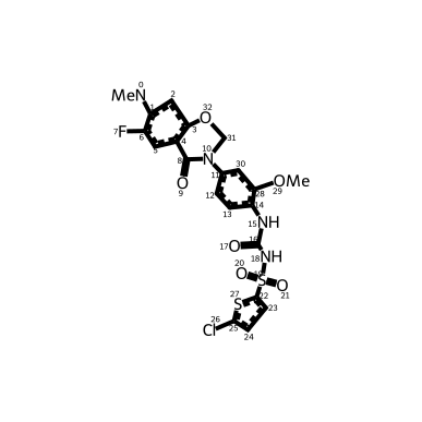 CNc1cc2c(cc1F)C(=O)N(c1ccc(NC(=O)NS(=O)(=O)c3ccc(Cl)s3)c(OC)c1)CO2